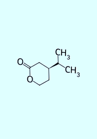 CC(C)[C@H]1CCOC(=O)C1